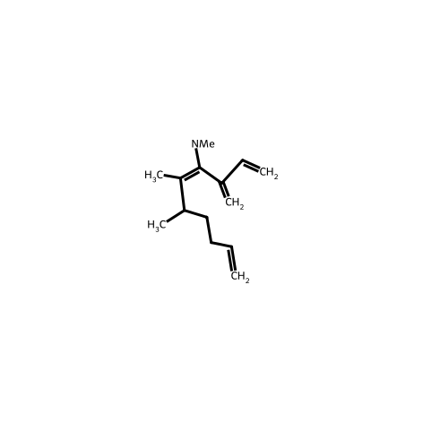 C=CCCC(C)/C(C)=C(/NC)C(=C)C=C